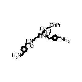 CCCOCCNC(=O)C(CCCCNC(=O)Cc1ccc(CN)cc1)NC(=O)Cc1ccc(CN)cc1